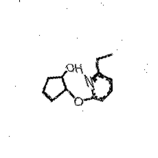 CCc1cccc(OC2CCCC2O)n1